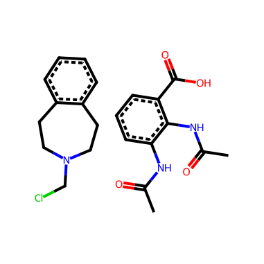 CC(=O)Nc1cccc(C(=O)O)c1NC(C)=O.ClCN1CCc2ccccc2CC1